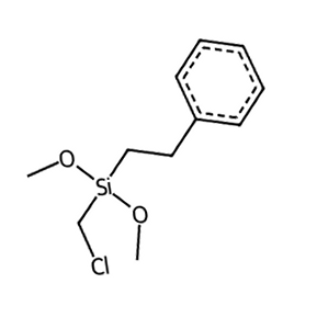 CO[Si](CCl)(CCc1ccccc1)OC